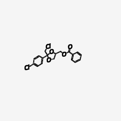 O=C(OCC1COC(CCl)(c2ccc(Cl)cc2)O1)c1ccccc1